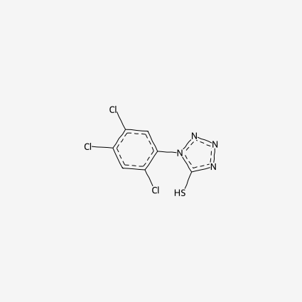 Sc1nnnn1-c1cc(Cl)c(Cl)cc1Cl